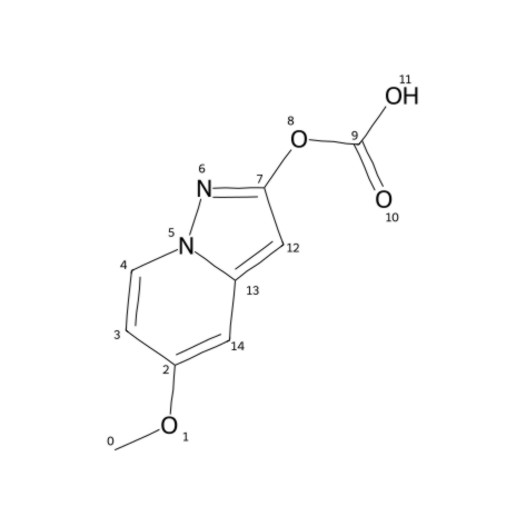 COc1ccn2nc(OC(=O)O)cc2c1